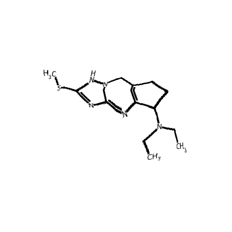 CCN(CC)C1CCC2=C1N=C1N=C(SC)NN1C2